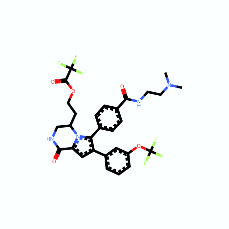 CN(C)CCNC(=O)c1ccc(-c2c(-c3cccc(OC(F)(F)F)c3)cc3n2C(CCOC(=O)C(F)(F)F)CNC3=O)cc1